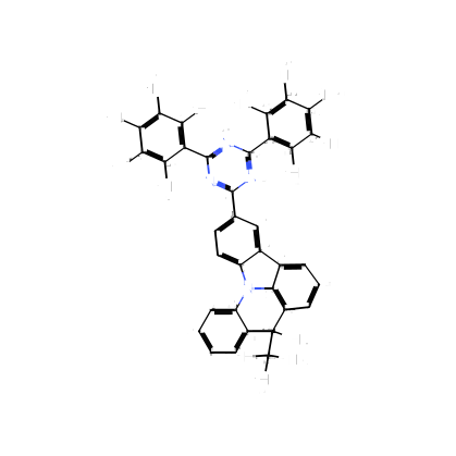 [2H]c1c([2H])c([2H])c(-c2nc(-c3ccc4c(c3)c3cccc5c3n4-c3ccccc3C5([2H])C([2H])([2H])[2H])nc(-c3c([2H])c([2H])c([2H])c([2H])c3[2H])n2)c([2H])c1[2H]